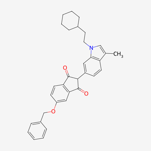 Cc1cn(CCC2CCCCC2)c2cc(C3C(=O)c4ccc(OCc5ccccc5)cc4C3=O)ccc12